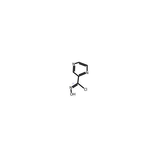 O/N=C(\Cl)c1cnccn1